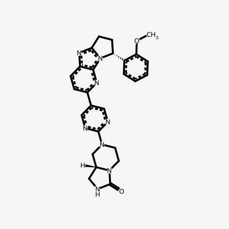 COc1ccccc1[C@H]1CCc2nc3ccc(-c4cnc(N5CCN6C(=O)NC[C@@H]6C5)nc4)nc3n21